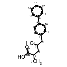 C[C@H](CC(O)Cc1ccc(-c2ccccc2)cc1)C(=O)O